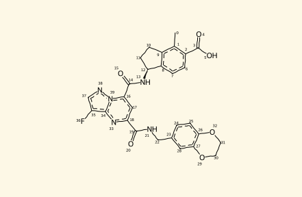 Cc1c(C(=O)O)ccc2c1CC[C@@H]2NC(=O)c1cc(C(=O)NCc2ccc3c(c2)OCCO3)nc2c(F)cnn12